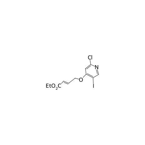 CCOC(=O)/C=C/COc1cc(Cl)ncc1I